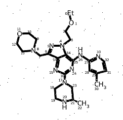 CCOCCn1nc(CN2CCOCC2)c2nc(N3CCN[C@H](C)C3)nc(Nc3cc(C)ccn3)c21